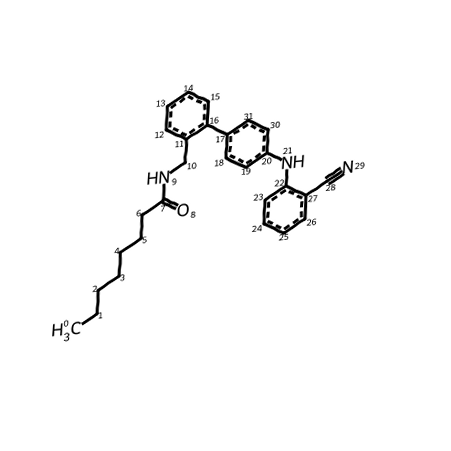 CCCCCCCC(=O)NCc1ccccc1-c1ccc(Nc2ccccc2C#N)cc1